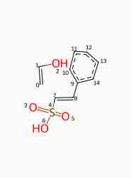 C=CO.O=S(=O)(O)C=Cc1ccccc1